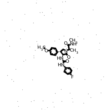 CNC(=O)C(C)N1C[C@@H](c2ccc(OC)cc2)[C@H](NC(=O)Nc2ccc(F)cc2)C1=O